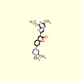 COc1nc(C)cn2cc(-c3cc4ccc(N5CCN(C)[C@H](C)C5)cc4oc3=O)nc12